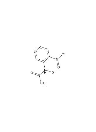 CC(=O)[NH+]([O-])c1ccccc1[N+](=O)[O-]